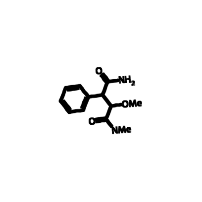 CNC(=O)C(OC)C(C(N)=O)c1ccccc1